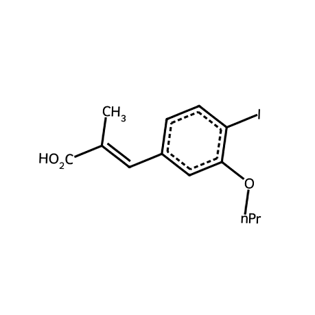 CCCOc1cc(C=C(C)C(=O)O)ccc1I